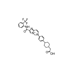 O=C(O)CC1CCC(c2ccc(N3C=CC4=NC(C(=O)Nc5ccccc5C(F)(F)F)=C[N+]4C3)cc2)CC1